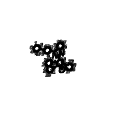 c1ccc(-c2ccc(-c3nc(-c4cc5c(oc6ccccc65)c5c4-c4cccc6cccc-5c46)nc4ccccc34)cc2)cc1